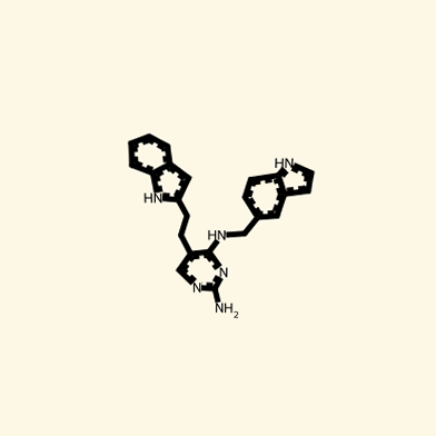 Nc1ncc(CCc2cc3ccccc3[nH]2)c(NCc2ccc3[nH]ccc3c2)n1